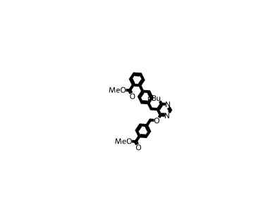 CCCCc1ncnc(OCc2ccc(C(=O)OC)cc2)c1Cc1ccc(-c2ccccc2C(=O)OC)cc1